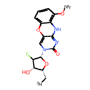 [2H]C[C@H]1O[C@@H](n2cc3c(nc2=O)Nc2c(OCCC)cccc2O3)C(F)[C@H]1O